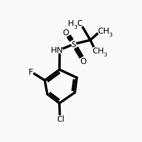 CC(C)(C)S(=O)(=O)Nc1ccc(Cl)cc1F